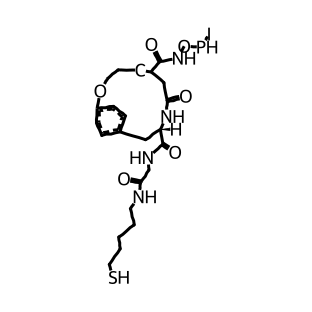 O=C(CNC(=O)[C@@H]1Cc2ccc(cc2)OCCCC(C(=O)NOPI)CC(=O)N1)NCCCCCS